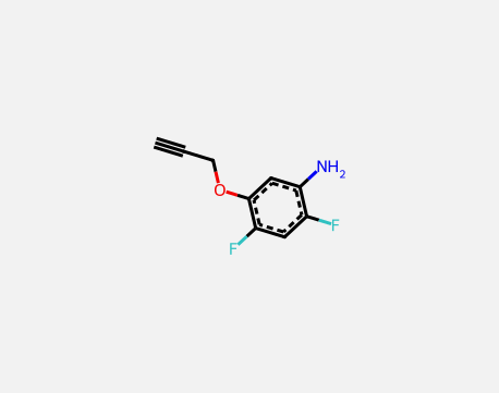 C#CCOc1cc(N)c(F)cc1F